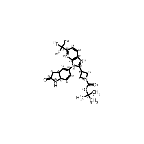 CC(C)(C)OC(=O)N1CC(c2nc3ccc(C(F)(F)F)nc3n2C2=CC3CC(=O)NC3C=C2)C1